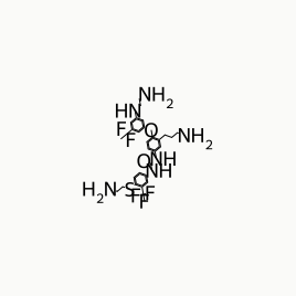 CC(F)(F)c1cc(NCCN)cc(Oc2ccc(NC(=O)Nc3ccc(SCCN)c(C(F)(F)F)c3)cc2CCCN)c1